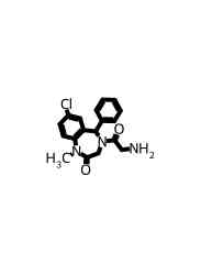 CN1C(=O)CN(C(=O)CN)C(c2ccccc2)c2cc(Cl)ccc21